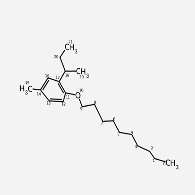 CCCCCCCCCCOc1ccc(C)cc1C(C)CC